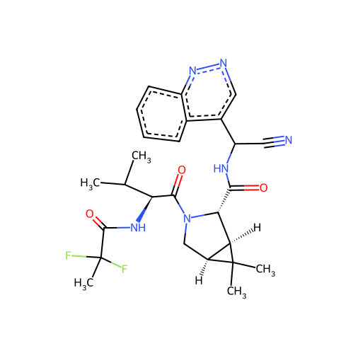 CC(C)[C@H](NC(=O)C(C)(F)F)C(=O)N1C[C@H]2[C@@H]([C@H]1C(=O)NC(C#N)c1cnnc3ccccc13)C2(C)C